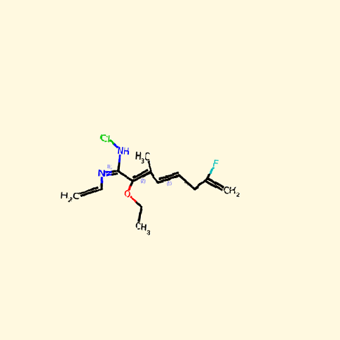 C=C\N=C(NCl)/C(OCC)=C(C)/C=C/CC(=C)F